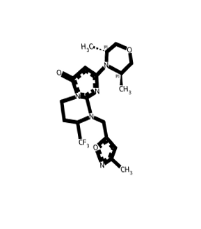 Cc1cc(CN2c3nc(N4[C@H](C)COC[C@H]4C)cc(=O)n3CCC2C(F)(F)F)on1